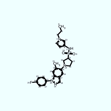 CCCn1ccc(NS(=O)(=O)C2CCN(c3cc4cnn(-c5ccc(F)cc5)c4cc3C)C2)c1